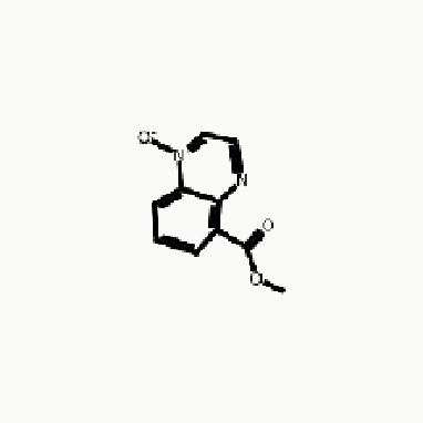 COC(=O)c1cccc2c1ncc[n+]2[O-]